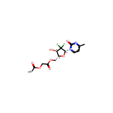 CCCC(=O)OCC(=O)OC[C@H]1O[C@@H](n2ccc(C)nc2=O)C(F)(F)[C@@H]1O